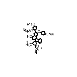 COc1ccc(Oc2cc3c4c(cc(O)c3cc2-c2ccc(OC)cc2OCN=[N+]=[N-])C2(CC(C)(C)CC(C)(CN=[N+]=[N-])C2)c2ccccc2-4)cc1